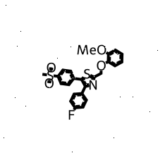 COc1ccccc1OCc1nc(-c2ccc(F)cc2)c(-c2ccc(S(C)(=O)=O)cc2)s1